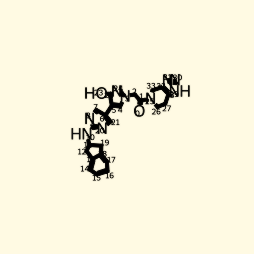 O=C(Cn1cc(-c2cnc(NC3Cc4ccccc4C3)nc2)c(O)n1)N1CCc2[nH]nnc2C1